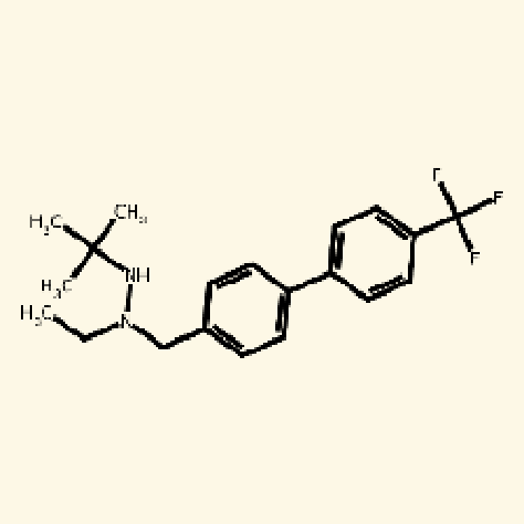 CCN(Cc1ccc(-c2ccc(C(F)(F)F)cc2)cc1)NC(C)(C)C